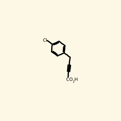 O=C(O)C#CCc1ccc(Cl)cc1